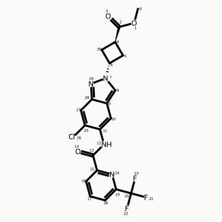 COC(=O)[C@H]1C[C@H](n2cc3cc(NC(=O)c4cccc(C(F)(F)F)n4)c(Cl)cc3n2)C1